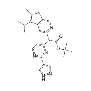 CC(C)N1c2cc(N(C(=O)OC(C)(C)C)c3ccnc(-c4cn[nH]c4)n3)ncc2NC1C